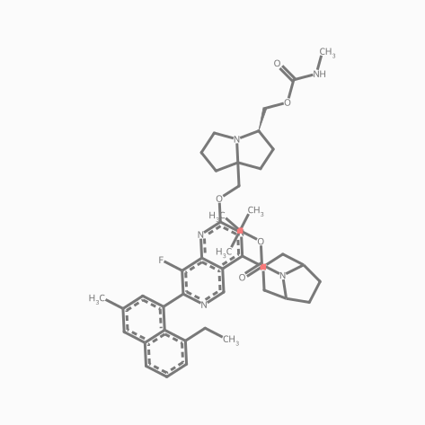 CCc1cccc2cc(C)cc(-c3ncc4c(N5CC6CCC(C5)N6C(=O)OC(C)(C)C)nc(OCC56CCCN5[C@@H](COC(=O)NC)CC6)nc4c3F)c12